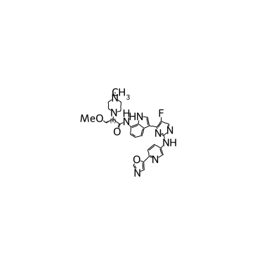 COC[C@H](C(=O)Nc1cccc2c(-c3nc(Nc4ccc(-c5cnco5)nc4)ncc3F)c[nH]c12)N1CCN(C)CC1